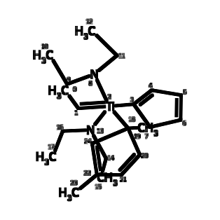 C[CH]=[Ti]([C]1=CC=CC1)([N](CC)CC)([N](CC)CC)[C]1(C)C=CC(C)=C1